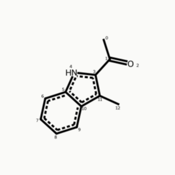 CC(=O)c1[nH]c2ccccc2c1C